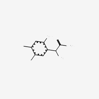 COC(=O)C(C#N)c1cc(Cl)c(Cl)cc1[N+](=O)[O-]